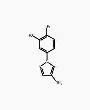 CC(C)c1ccc(-n2cc(N)cn2)cc1O